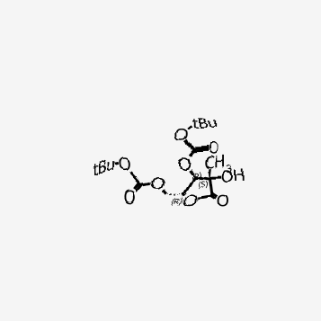 CC(C)(C)OC(=O)OC[C@H]1OC(=O)[C@@](C)(O)[C@@H]1OC(=O)OC(C)(C)C